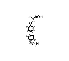 CCCCCCCCC(F)COc1ccc(-c2ccc(C(=O)O)cc2)cc1